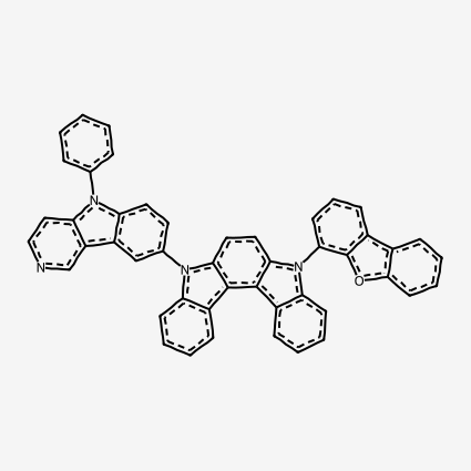 c1ccc(-n2c3ccncc3c3cc(-n4c5ccccc5c5c6c7ccccc7n(-c7cccc8c7oc7ccccc78)c6ccc54)ccc32)cc1